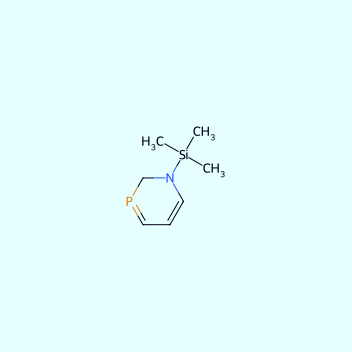 C[Si](C)(C)N1C=CC=PC1